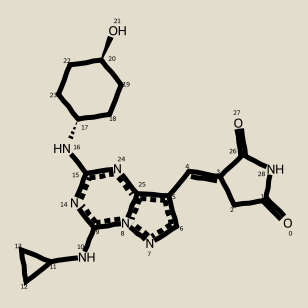 O=C1C/C(=C\c2cnn3c(NC4CC4)nc(N[C@H]4CC[C@H](O)CC4)nc23)C(=O)N1